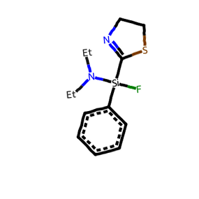 CCN(CC)[Si](F)(C1=NCCS1)c1ccccc1